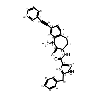 CN1C(=O)C(NC(=O)c2n[nH]c(Cc3ccccc3)n2)CCc2ccc(C#Cc3cccnc3)cc21